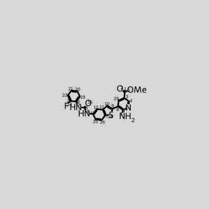 COC(=O)c1cnc(N)c(-c2cc3cc(NC(=O)Nc4ccccc4F)ccc3s2)c1